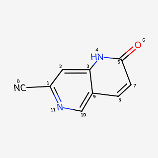 N#Cc1cc2[nH]c(=O)ccc2cn1